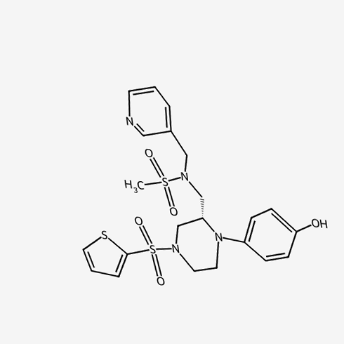 CS(=O)(=O)N(Cc1cccnc1)C[C@H]1CN(S(=O)(=O)c2cccs2)CCN1c1ccc(O)cc1